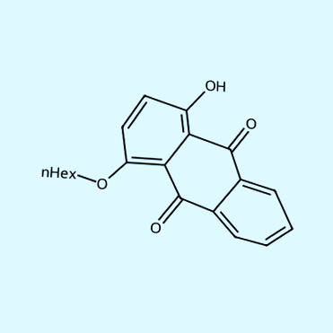 CCCCCCOc1ccc(O)c2c1C(=O)c1ccccc1C2=O